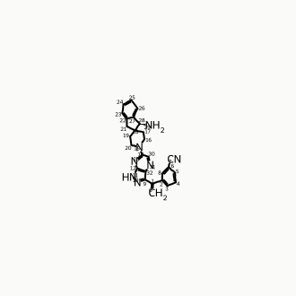 C=C(c1cccc(C#N)c1)c1n[nH]c2nc(N3CCC4(CC3)Cc3ccccc3[C@H]4N)cnc12